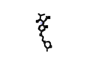 CC1CN(CCOC2=CN/C(=C(\C=N)C(=O)C(C)C)C=C2)CCO1